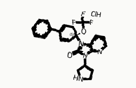 Cl.O=c1n(C2CCNC2)c2ncccc2n1[C@@]1(OC(F)(F)F)C=CC(c2ccccc2)=CC1